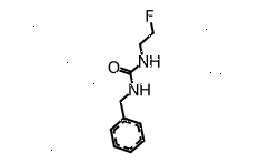 O=C(NCCF)NCc1ccccc1